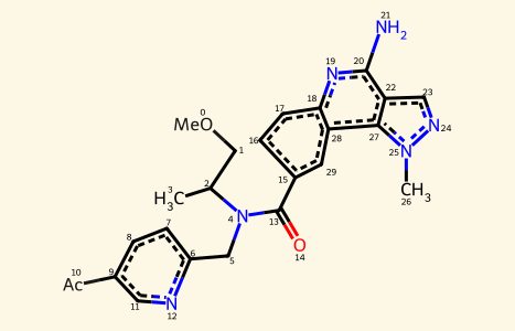 COCC(C)N(Cc1ccc(C(C)=O)cn1)C(=O)c1ccc2nc(N)c3cnn(C)c3c2c1